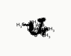 CCCCCNc1nc(N)nc2ccn(Cc3ccc(CN4CCN(C(=O)OCc5ccc(OC6CC(OC(C)=O)CC(C(=O)OC)O6)c(NC(=O)CCNC(=O)OCC6c7ccccc7-c7ccccc76)c5)CC4)cc3OC)c12